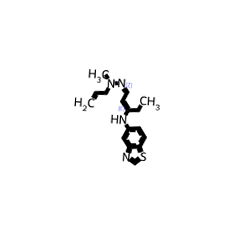 C=CCN(C)/N=C\C=C(/CC)Nc1ccc2scnc2c1